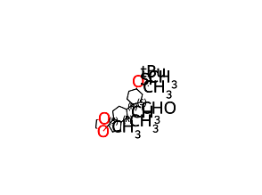 C[C@H]1C2CCC3(OCCO3)[C@@]2(C)CCC1[C@@]1(C)CCC(O[Si](C)(C)C(C)(C)C)C[C@@H]1C=O